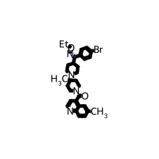 CCO/N=C(\c1ccc(Br)cc1)C1CCN(C2(C)CCN(C(=O)c3ccnc4ccc(C)cc34)CC2)CC1